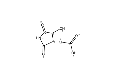 O=C(O)Cl.O=C1CC(O)C(=O)N1